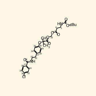 CC(C)(C)OC(=O)NCCC(=O)OCOC(=O)C(C)(C)Oc1ccc(CCNC(=O)c2ccc(Cl)cc2)cc1